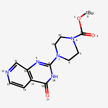 CC(C)(C)OC(=O)N1CCN(c2nc3cnccc3c(=O)[nH]2)CC1